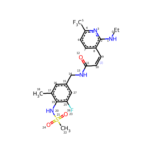 CCNc1nc(C(F)(F)F)ccc1/C=C\C(=O)NCc1cc(C)c(NS(C)(=O)=O)c(F)c1